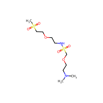 CN(C)CCOCS(=O)(=O)NCCOCCS(C)(=O)=O